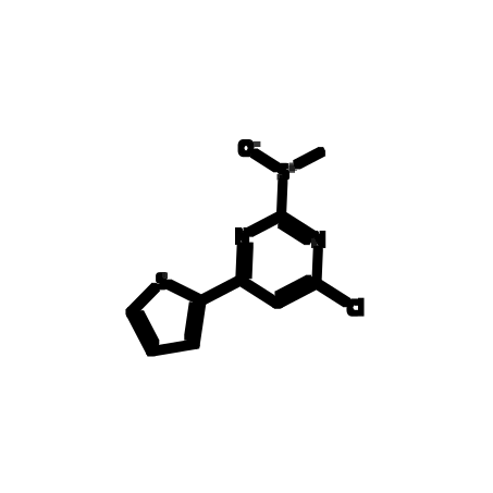 C[S+]([O-])c1nc(Cl)cc(-c2cccs2)n1